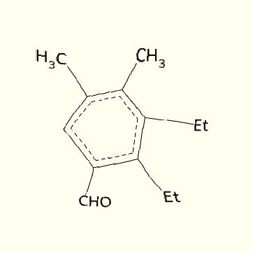 CCc1c(C=O)cc(C)c(C)c1CC